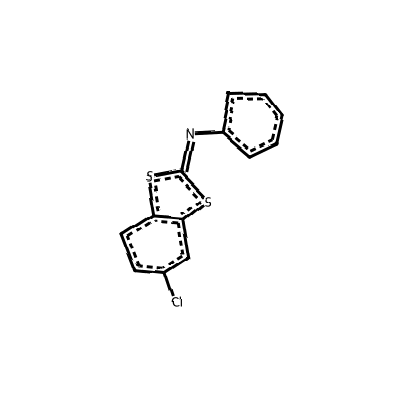 Clc1ccc2sc(=Nc3ccccc3)sc2c1